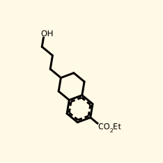 CCOC(=O)c1ccc2c(c1)CCC(CCCO)C2